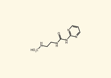 O=C(O)NCCNC(=O)Nc1ncccn1